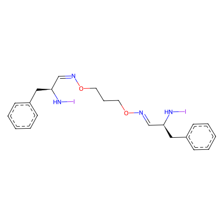 IN[C@H](C=NOCCCO/N=C\[C@H](Cc1ccccc1)NI)Cc1ccccc1